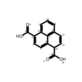 O=C(O)c1ccc2c3c(cccc13)C=CC2C(=O)O